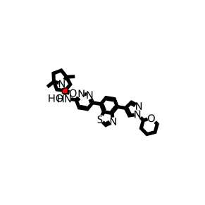 CC12CCC(C)(CC(Nc3ccc(-c4ccc(-c5cnn(C6CCCCO6)c5)c5ncsc45)nn3)C1)N2C(=O)O